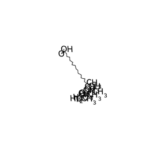 C=C(C)C(=O)O.C=C(C)C(=O)O.CC(C)CCCCCCCCCCCCCCC(=O)O.CC(C)O.[Ti]